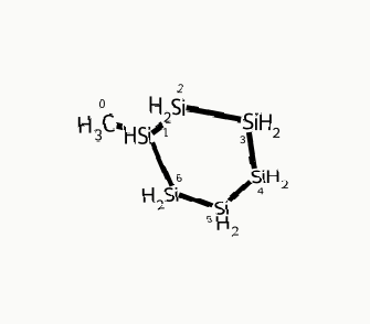 C[SiH]1[SiH2][SiH2][SiH2][SiH2][SiH2]1